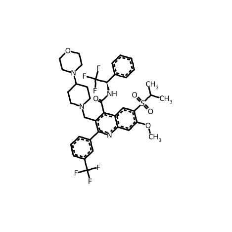 COc1cc2nc(-c3cccc(C(F)(F)F)c3)c(CN3CCC(N4CCOCC4)CC3)c(C(=O)N[C@H](c3ccccc3)C(F)(F)F)c2cc1S(=O)(=O)C(C)C